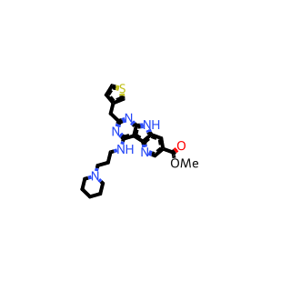 COC(=O)c1cnc2c(c1)[nH]c1nc(Cc3ccsc3)nc(NCCCN3CCCCC3)c12